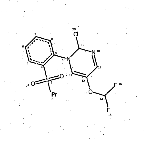 CC(C)S(=O)(=O)c1ccccc1N1C=C(OC(F)F)C=NC1Cl